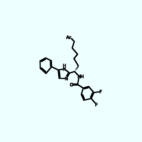 CC(=O)CCCCC[C@H](NC(=O)c1ccc(F)c(F)c1)c1ncc(-c2ccccc2)[nH]1